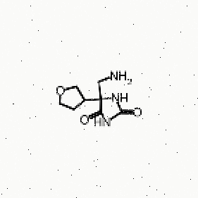 NCC1(C2CCOC2)NC(=O)NC1=O